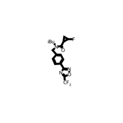 CCC(C)N(Cc1ccc(-c2noc(C(F)(F)F)n2)cc1)C(=O)C1CC1F